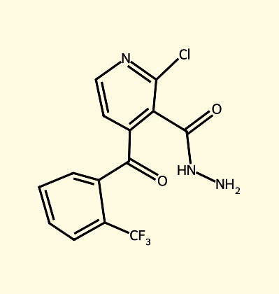 NNC(=O)c1c(C(=O)c2ccccc2C(F)(F)F)ccnc1Cl